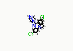 CN1CCN(C2=Nc3cc(Cl)ccc3N3CCc4cc(Cl)cc2c43)CC1